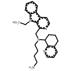 NCCCCN(Cc1nccc2c3ccccc3n(CC(=O)O)c12)C1CCCc2cccnc21